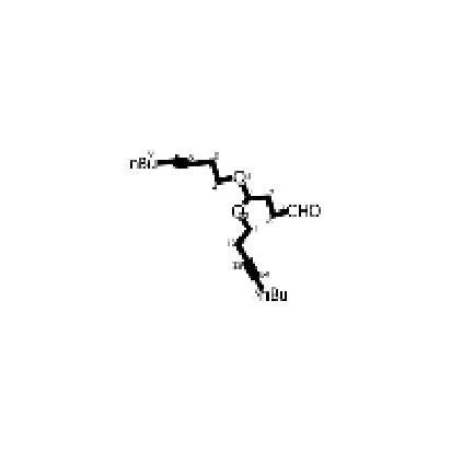 CCCCC#CCCOC(CCC=O)OCCC#CCCCC